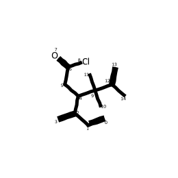 C=CC(=C)C(CC(=O)Cl)C(C)(C)C(=C)C